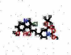 COC(=O)N1CCC(CC[C@@H](O)c2c(Cl)cnc3ccc(OC)cc23)C[C@H]1C(=O)OC(C)(C)C